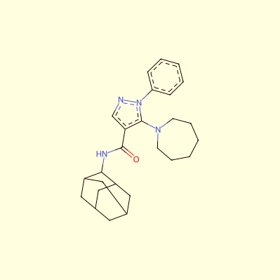 O=C(NC1C2CC3CC(C2)CC1C3)c1cnn(-c2ccccc2)c1N1CCCCCC1